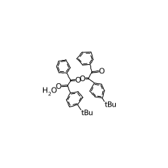 CC(C)(C)c1ccc(C(=O)C(=O)c2ccccc2)cc1.CC(C)(C)c1ccc(C(=O)C(=O)c2ccccc2)cc1.O